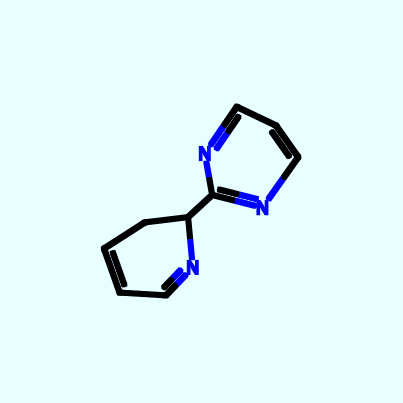 C1=CCC(c2ncccn2)N=C1